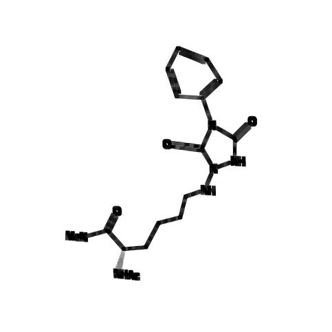 CNC(=O)[C@H](CCCCNn1[nH]c(=O)n(-c2ccccc2)c1=O)NC(C)=O